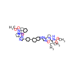 COC(=O)N[C@H](C(=O)N1CCCC1c1ncc(-c2ccc3cc(-c4ccc(-c5cnc([C@@H]6CCCN6C(=O)C6(NC(=O)OC)CCc7ccccc76)[nH]5)cc4)ccc3c2)[nH]1)C(C)C